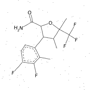 Cc1c(C2C(C(N)=O)OC(C)(C(F)(F)F)C2C)ccc(F)c1F